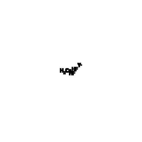 F.F.[CaH2].[Y]